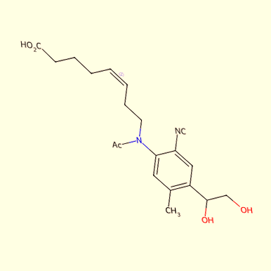 [C-]#[N+]c1cc(C(O)CO)c(C)cc1N(CC/C=C\CCCC(=O)O)C(C)=O